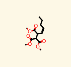 CCC/C=C\C(C(=O)OC)C(C(=O)OC)C(=O)OC